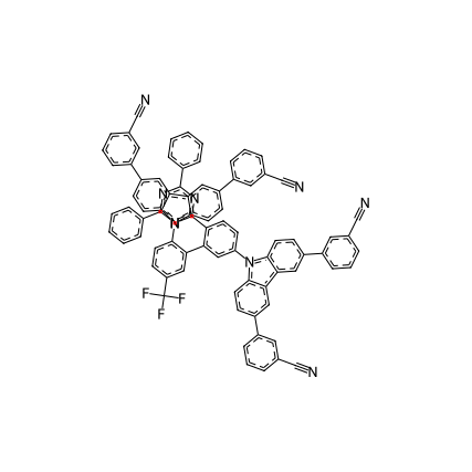 N#Cc1cccc(-c2ccc3c(c2)c2cc(-c4cccc(C#N)c4)ccc2n3-c2ccc(-c3nc(-c4ccccc4)nc(-c4ccccc4)n3)c(-c3cc(C(F)(F)F)ccc3-n3c4ccc(-c5cccc(C#N)c5)cc4c4cc(-c5cccc(C#N)c5)ccc43)c2)c1